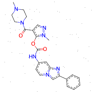 CN1CCN(C(=O)c2cnn(C)c2OC(=O)Nc2ccn3cc(-c4ccccc4)nc3c2)CC1